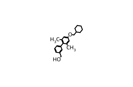 Cc1cc(OCC2CCCCC2)cc(C)c1-c1cccc(CO)c1